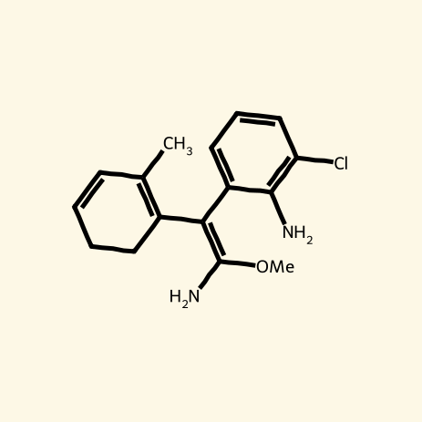 CO/C(N)=C(/C1=C(C)C=CCC1)c1cccc(Cl)c1N